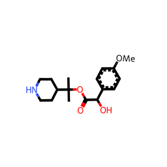 COc1ccc(C(O)C(=O)OC(C)(C)C2CCNCC2)cc1